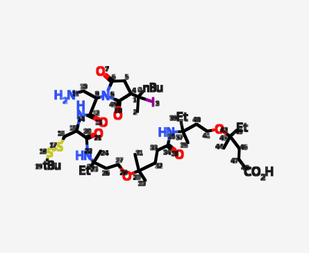 CCCCC(C)(I)C1CC(=O)N(C(CN)C(=O)NC(CSSC(C)(C)C)C(=O)NC(C)(CC)CCOC(C)(C)CCC(=O)NC(C)(CC)CCOC(C)(CC)CCC(=O)O)C1=O